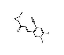 C[C@@H]1CC1C(=O)/C=C/c1cc(F)c(F)cc1C#N